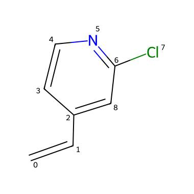 C=Cc1ccnc(Cl)c1